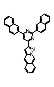 c1ccc2cc(-c3cc(-c4cc5cc6ccccc6cn5n4)nc(-c4ccc5ccccc5c4)n3)ccc2c1